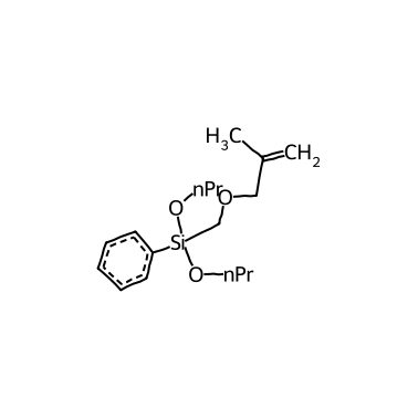 C=C(C)COC[Si](OCCC)(OCCC)c1ccccc1